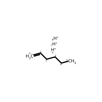 C=CCCCC.[H+].[H+].[H+]